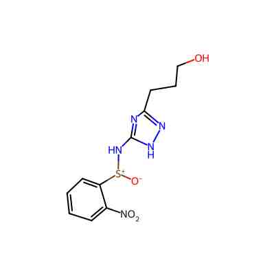 O=[N+]([O-])c1ccccc1[S+]([O-])Nc1nc(CCCO)n[nH]1